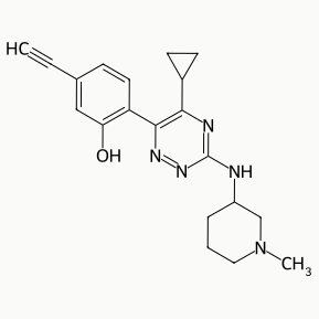 C#Cc1ccc(-c2nnc(NC3CCCN(C)C3)nc2C2CC2)c(O)c1